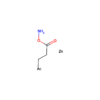 CC(=O)CCC(=O)ON.[Zn]